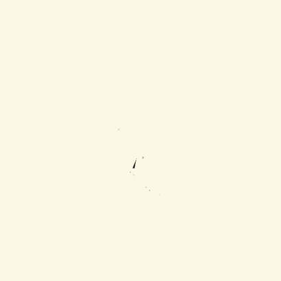 CN(N)[C@@H]1Cc2ccccc2[C@H]1O